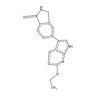 CCOc1ccc2c(-c3ccc4c(c3)CNC4=O)c[nH]c2n1